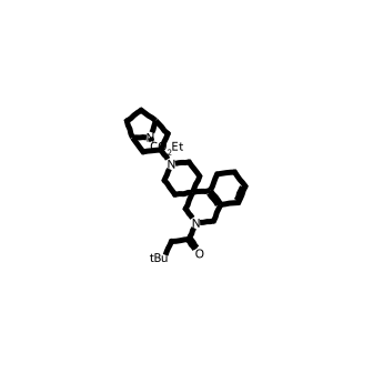 CCOC(=O)N1C2CCC1CC(N1CCC3(CC1)CN(C(=O)CC(C)(C)C)CC1=C3CCC=C1)C2